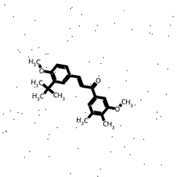 COc1ccc(/C=C/C(=O)c2cc(C)c(C)c(OC)c2)cc1C(C)(C)C